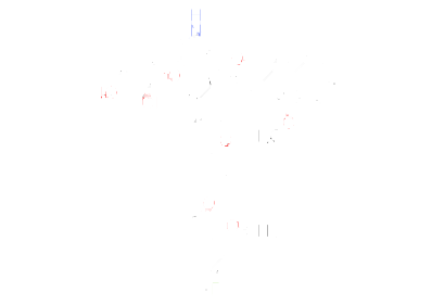 COc1cc(F)ccc1COCCCOc1ccc([C@@H]2[C@@H](OCc3cc(OC)c4ccccc4c3)CNC[C@H]2OCC(O)CO)cc1